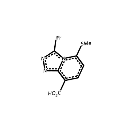 CSc1ccc(C(=O)O)c2nnc(C(C)C)n12